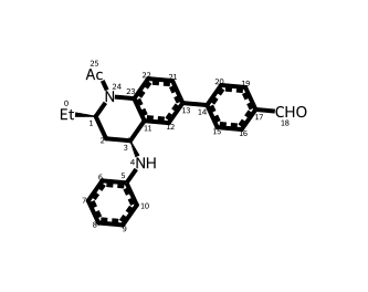 CC[C@@H]1C[C@H](Nc2ccccc2)c2cc(-c3ccc(C=O)cc3)ccc2N1C(C)=O